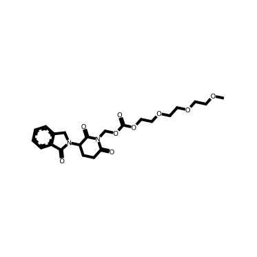 COCCOCCOCCOC(=O)OCN1C(=O)CCC(N2Cc3ccccc3C2=O)C1=O